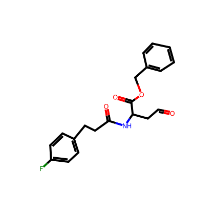 O=CCC(NC(=O)CCc1ccc(F)cc1)C(=O)OCc1ccccc1